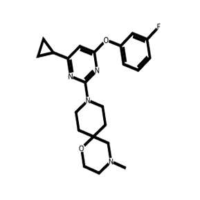 CN1CCOC2(CCN(c3nc(Oc4cccc(F)c4)cc(C4CC4)n3)CC2)C1